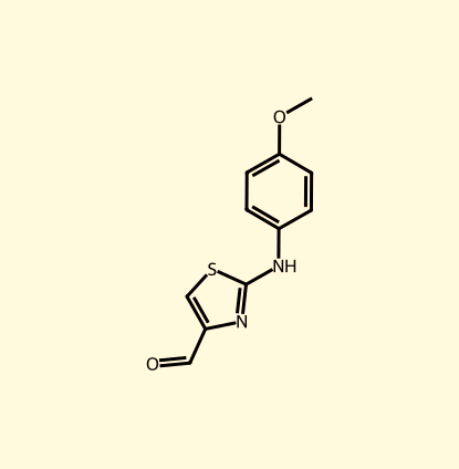 COc1ccc(Nc2nc(C=O)cs2)cc1